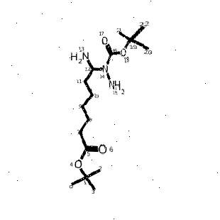 CC(C)(C)OC(=O)CCCCCC(N)N(N)C(=O)OC(C)(C)C